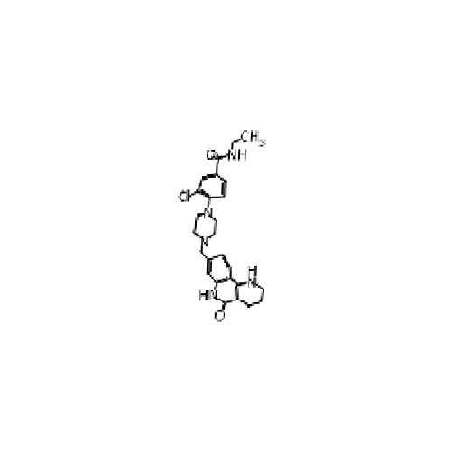 CCNC(=O)c1ccc(N2CCN(Cc3ccc4c5c(c(=O)[nH]c4c3)CCCN5)CC2)c(Cl)c1